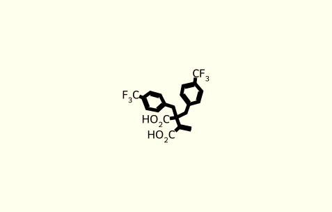 C=C(C(=O)O)C(Cc1ccc(C(F)(F)F)cc1)(Cc1ccc(C(F)(F)F)cc1)C(=O)O